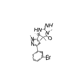 CN1C(=N)N[C@](C)(c2cc(-c3cccc(Br)c3)nn2C)C(C)(C)C1=O